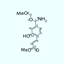 COCOC(N)c1ccc(C=CC(=O)OC)c(O)c1